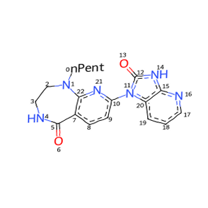 CCCCCN1CCNC(=O)c2ccc(-n3c(=O)[nH]c4ncccc43)nc21